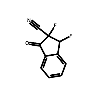 N#CC1(F)C(=O)c2ccccc2C1F